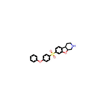 O=S(=O)(c1ccc(Oc2ccccc2)cc1)c1ccc2c(c1)OC1CNCCC21